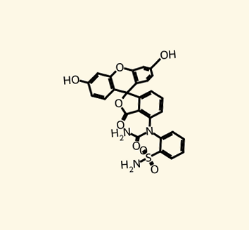 NC(=O)N(c1ccccc1S(N)(=O)=O)c1cccc2c1C(=O)OC21c2ccc(O)cc2Oc2cc(O)ccc21